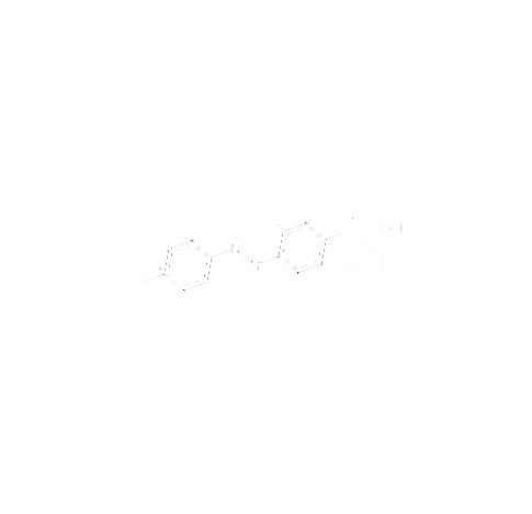 OP(O)(=S)Oc1ccc(N=Nc2ccc(Cl)cc2)cc1